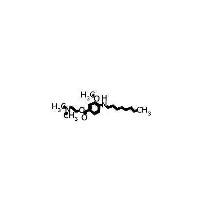 CCCCCCCCNc1ccc(C(=O)OCCN(C)C)cc1OC